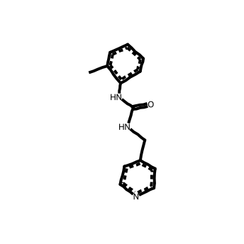 Cc1ccccc1NC(=O)NCc1ccncc1